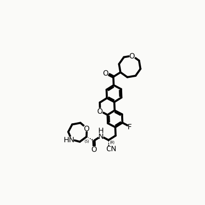 N#C[C@@H](Cc1cc2c(cc1F)-c1ccc(C(=O)C3CCCCOCC3)cc1CO2)NC(=O)[C@@H]1CNCCCO1